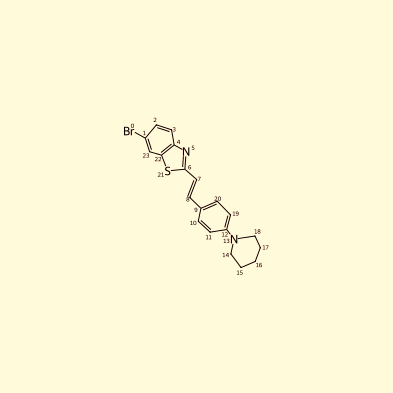 Brc1ccc2nc(C=Cc3ccc(N4CCCCC4)cc3)sc2c1